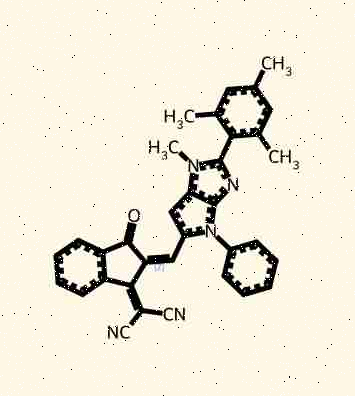 Cc1cc(C)c(-c2nc3c(cc(/C=C4\C(=O)c5ccccc5C4=C(C#N)C#N)n3-c3ccccc3)n2C)c(C)c1